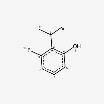 CC(C)c1c(O)cccc1F